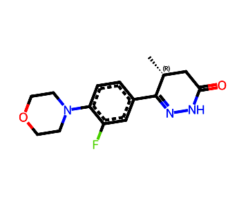 C[C@@H]1CC(=O)NN=C1c1ccc(N2CCOCC2)c(F)c1